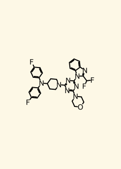 Fc1ccc(N(c2ccc(F)cc2)C2CCN(c3nc(N4CCOCC4)nc(-n4c(C(F)F)nc5ccccc54)n3)CC2)cc1